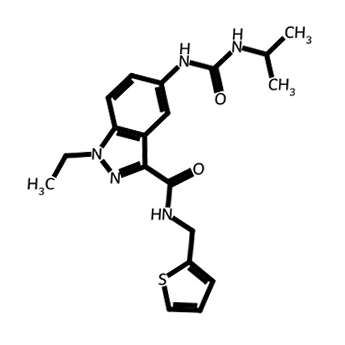 CCn1nc(C(=O)NCc2cccs2)c2cc(NC(=O)NC(C)C)ccc21